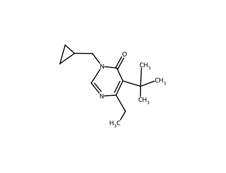 CCc1ncn(CC2CC2)c(=O)c1C(C)(C)C